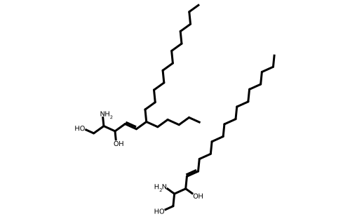 CCCCCCCCCCCCC(/C=C/C(O)C(N)CO)CCCCC.CCCCCCCCCCCCC/C=C/C(O)C(N)CO